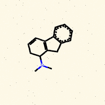 CN(C)C1CC=CC2=C1Cc1ccccc12